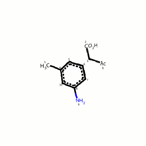 CC(=O)CC(=O)O.Cc1cccc(N)c1